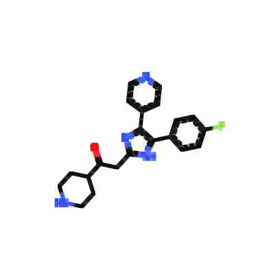 O=C(Cc1nc(-c2ccncc2)c(-c2ccc(F)cc2)[nH]1)C1CCNCC1